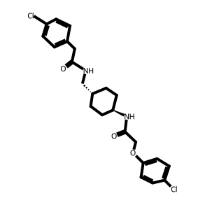 O=C(Cc1ccc(Cl)cc1)NC[C@H]1CC[C@H](NC(=O)COc2ccc(Cl)cc2)CC1